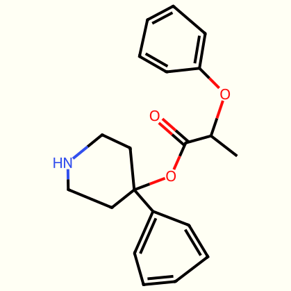 CC(Oc1ccccc1)C(=O)OC1(c2ccccc2)CCNCC1